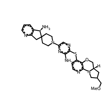 COCC1C[C@H]2COc3c(Sc4ncc(N5CCC6(CC5)Cc5ncccc5[C@H]6N)nc4N)ccnc3N2C1